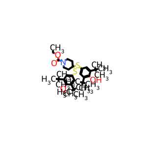 CCOC(=O)N1CCC(Sc2cc(C(C)(C)C)c(O)c(C(C)(C)C)c2)(Sc2cc(C(C)(C)C)c(OC)c(C(C)(C)C)c2)CC1